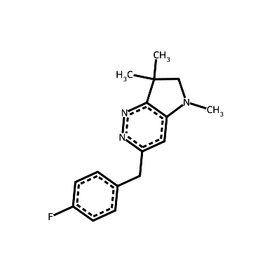 CN1CC(C)(C)c2nnc(Cc3ccc(F)cc3)cc21